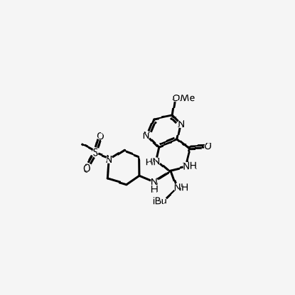 CCC(C)NC1(NC2CCN(S(C)(=O)=O)CC2)NC(=O)c2nc(OC)cnc2N1